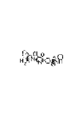 N[C@@H]1CCOC[C@H]1CNc1cnn(C2CCN(S(=O)(=O)Nc3ccccc3)CC2)c(=O)c1Cl